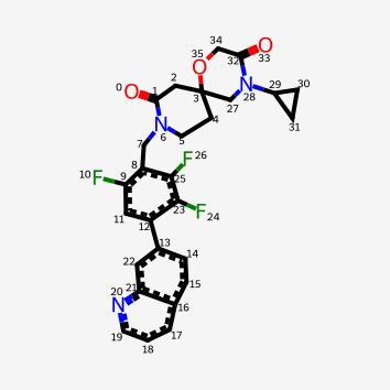 O=C1CC2(CCN1Cc1c(F)cc(-c3ccc4cccnc4c3)c(F)c1F)CN(C1CC1)C(=O)CO2